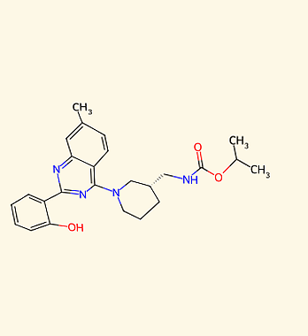 Cc1ccc2c(N3CCC[C@@H](CNC(=O)OC(C)C)C3)nc(-c3ccccc3O)nc2c1